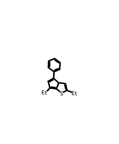 CCC1=CC2C(c3ccccc3)=CC(CC)=C2S1